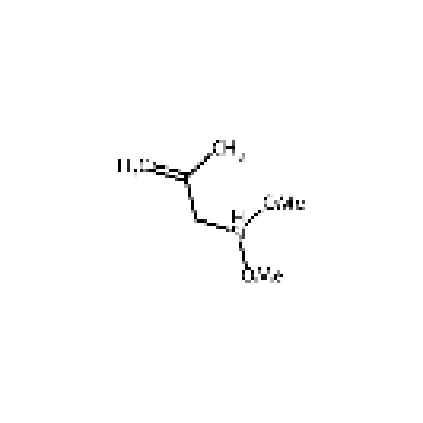 C=C(C)C[SiH](OC)OC